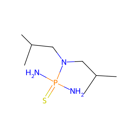 CC(C)CN(CC(C)C)P(N)(N)=S